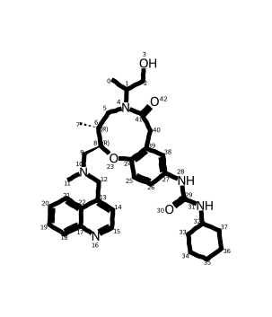 CC(CO)N1C[C@@H](C)[C@H](CN(C)Cc2ccnc3ccccc23)Oc2ccc(NC(=O)NC3CCCCC3)cc2CC1=O